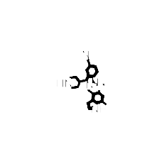 COc1cc(C)c2[nH]ccc2c1Cn1nc2ccc(C#N)cc2c1C1=CCNCC1